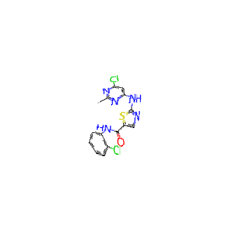 Cc1nc(Cl)cc(Nc2ncc(C(=O)Nc3ccccc3Cl)s2)n1